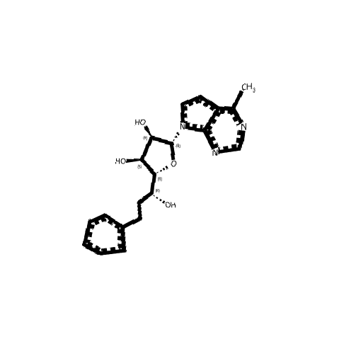 Cc1ncnc2c1ccn2[C@@H]1O[C@H]([C@H](O)CCc2ccccc2)[C@@H](O)[C@H]1O